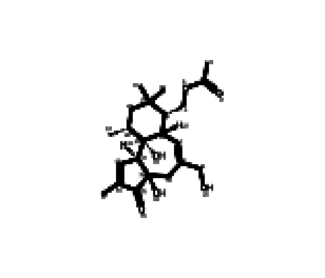 CC(=O)OC[C@@H]1[C@@H]2C=C(CO)C[C@]3(O)C(=O)C(C)=C[C@H]3[C@@]2(O)[C@H](C)CC1(C)C